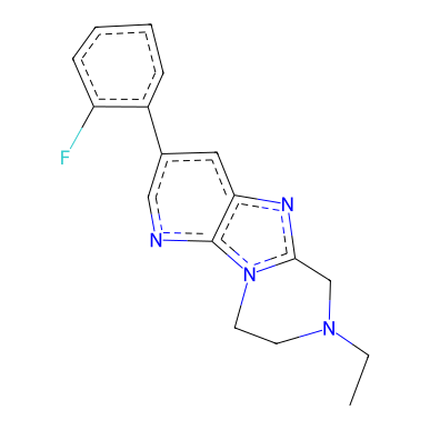 CCN1CCn2c(nc3cc(-c4ccccc4F)cnc32)C1